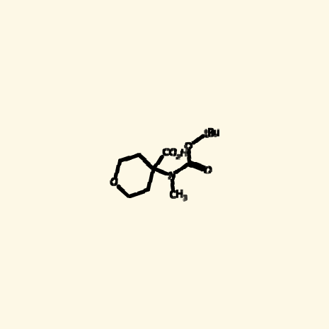 CN(C(=O)OC(C)(C)C)C1(C(=O)O)CCOCC1